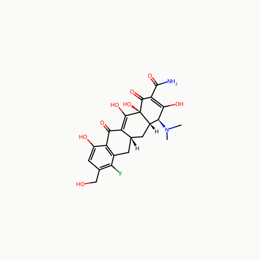 CN(C)[C@@H]1C(O)=C(C(N)=O)C(=O)[C@@]2(O)C(O)=C3C(=O)c4c(O)cc(CO)c(F)c4C[C@H]3C[C@@H]12